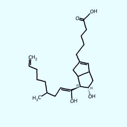 C=CCCCC(C)CC=C(O)[C@H]1C2CC(CCCCC(=O)O)=CC2C[C@@H]1O